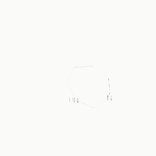 C1=NCCCCN1